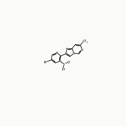 CC[S+]([O-])c1cc(Br)cnc1-c1cn2cnc(C(F)(F)F)cc2n1